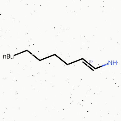 CCCCCCCC/C=C/[NH]